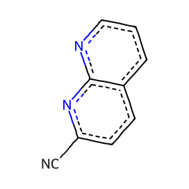 N#Cc1ccc2cccnc2n1